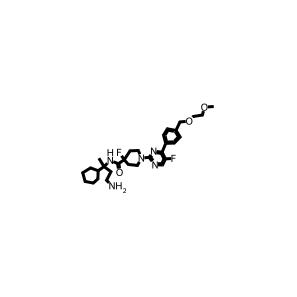 COCCOCc1ccc(-c2nc(N3CCC(F)(C(=O)NC(C)(CCN)C4CCCCC4)CC3)ncc2F)cc1